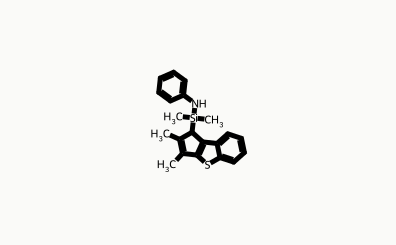 CC1=C(C)C([Si](C)(C)Nc2ccccc2)c2c1sc1ccccc21